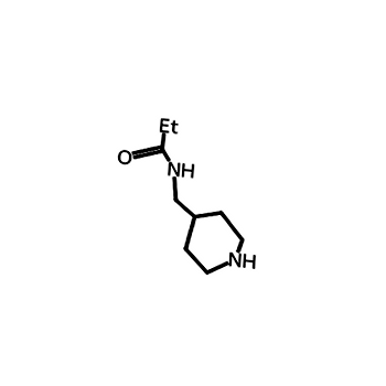 CCC(=O)NCC1CCNCC1